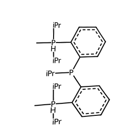 CC(C)P(c1ccccc1[PH](C)(C(C)C)C(C)C)c1ccccc1[PH](C)(C(C)C)C(C)C